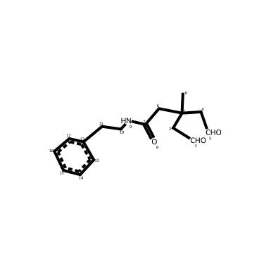 CC(CC=O)(CC=O)CC(=O)NCCc1ccccc1